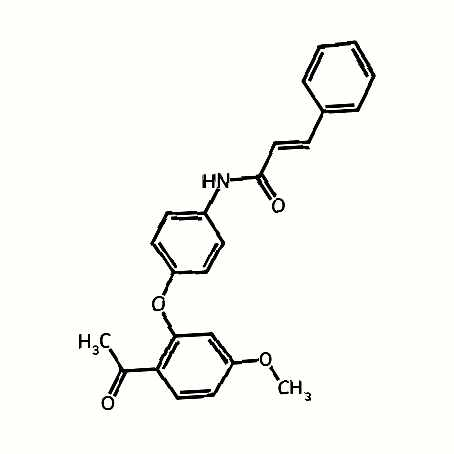 COc1ccc(C(C)=O)c(Oc2ccc(NC(=O)C=Cc3ccccc3)cc2)c1